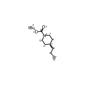 CC(C)(C)OC(=O)N1CCC(=CCBr)CC1